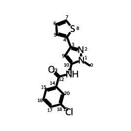 Cn1nc(-c2cccs2)cc1NC(=O)c1cccc(Cl)c1